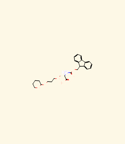 O=C(N[C@@H](COCCCOC1CCCCO1)C(=O)O)OCC1c2ccccc2-c2ccccc21